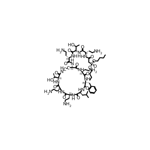 CCCCOP(=O)(CC(=O)N[C@@H](CCN)C(=O)N[C@H](C(=O)N[C@@H](CCN)C(=O)N[C@H]1CCNC(=O)[C@H]([C@H](C)O)NC(=O)[C@H](CCN)NC(=O)[C@H](CCN)NC(=O)[C@H](CC(C)C)NC(=O)[C@@H](Cc2ccccc2)NC(=O)[C@H](CCN)NC1=O)C(C)O)OCCCC